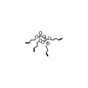 C=CCCOP(=O)(OCCC=C)OP(=O)(OCCC=C)OCCC=C